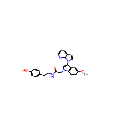 CCOc1ccc2c(c1)c(-n1ccc3cccnc31)cn2CC(=O)NCCc1ccc(O)cc1